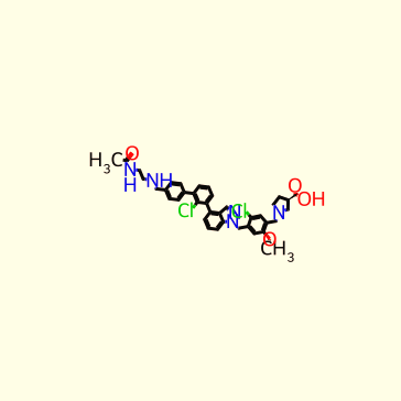 COc1cc(Cn2ncc3c(-c4cccc(-c5ccc(CNCCNC(C)=O)cc5)c4Cl)cccc32)c(Cl)cc1CN1CC[C@@H](C(=O)O)C1